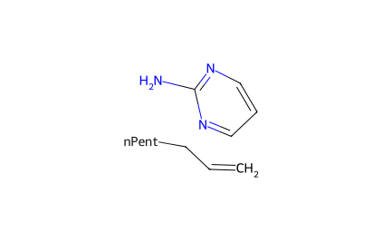 C=CCCCCCC.Nc1ncccn1